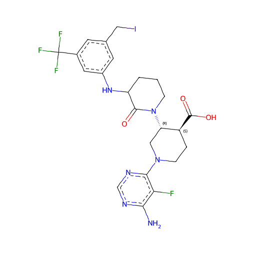 Nc1ncnc(N2CC[C@H](C(=O)O)[C@@H](N3CCCC(Nc4cc(CI)cc(C(F)(F)F)c4)C3=O)C2)c1F